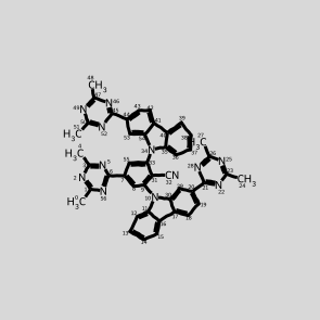 Cc1nc(C)nc(-c2cc(-n3c4ccccc4c4ccc(-c5nc(C)nc(C)n5)cc43)c(C#N)c(-n3c4ccccc4c4ccc(-c5nc(C)nc(C)n5)cc43)c2)n1